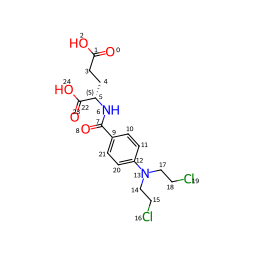 O=C(O)CC[C@H](NC(=O)c1ccc(N(CCCl)CCCl)cc1)C(=O)O